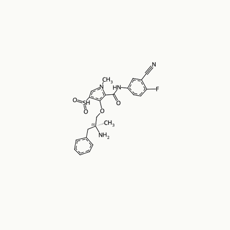 Cn1cc([SH](=O)=O)c(OC[C@@](C)(N)Cc2ccccc2)c1C(=O)Nc1ccc(F)c(C#N)c1